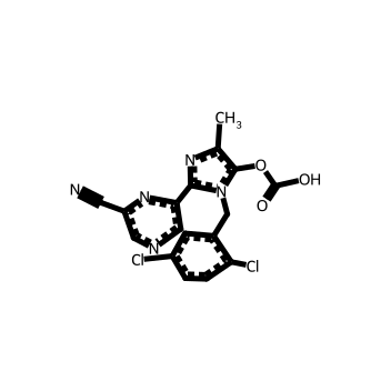 Cc1nc(-c2cncc(C#N)n2)n(Cc2cc(Cl)ccc2Cl)c1OC(=O)O